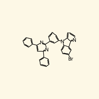 Brc1ccc2c(c1)c1ncccc1n2-c1cccc(-c2nc(-c3ccccc3)cc(-c3ccccc3)n2)c1